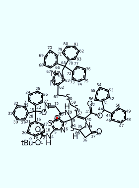 CC(C)(C)OC(=O)Nc1nc(C2(NC(=O)/C=N\OC(c3ccccc3)(c3ccccc3)c3ccccc3)S[C@@H]3CC(=O)N3C(C(=O)OC(c3ccccc3)c3ccccc3)=C2SCSCc2cn(C(c3ccccc3)(c3ccccc3)c3ccccc3)nn2)cs1